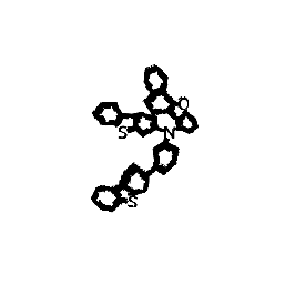 c1cc(-c2ccc3c(c2)sc2ccccc23)cc(N(c2ccc3c(c2)sc2ccccc23)c2cccc3oc4c5ccccc5ccc4c23)c1